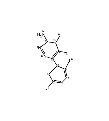 CC1=C(C2CC(I)=CC=C2I)N=NC(N)C1C